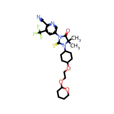 CC1(C)C(=O)N(c2cnc(C#N)c(C(F)(F)F)c2)C(=S)N1C1CCC(OCCOC2CCCCO2)CC1